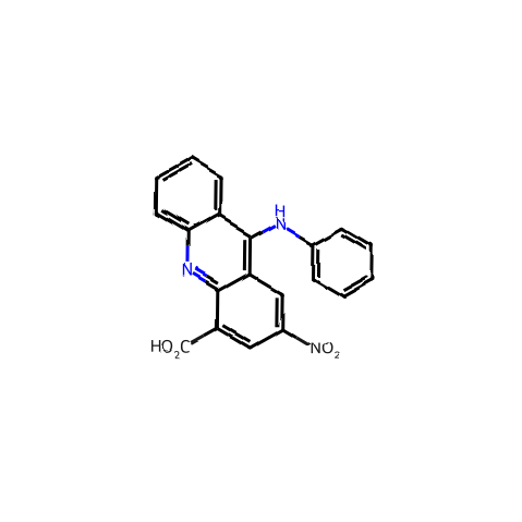 O=C(O)c1cc([N+](=O)[O-])cc2c(Nc3ccccc3)c3ccccc3nc12